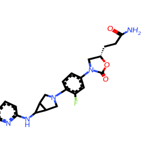 NC(=O)CC[C@H]1CN(c2ccc(N3CC4C(C3)C4Nc3ccccn3)c(F)c2)C(=O)O1